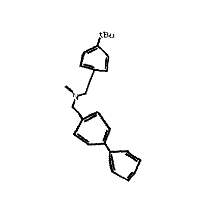 CN(Cc1ccc(-c2ccccc2)cc1)Cc1ccc(C(C)(C)C)cc1